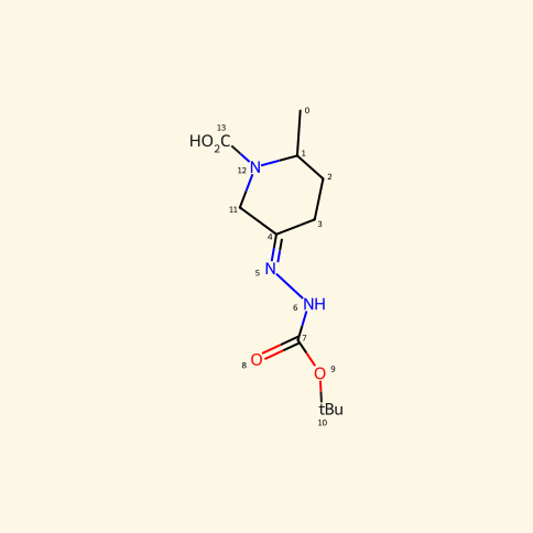 CC1CC/C(=N\NC(=O)OC(C)(C)C)CN1C(=O)O